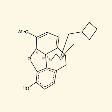 COC1=CC=C2C3Cc4ccc(O)c5c4[C@@]2(CC[N+]3(C)CC2CCC2)[C@H]1O5